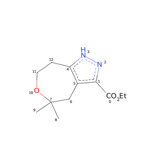 CCOC(=O)c1n[nH]c2c1CC(C)(C)OCC2